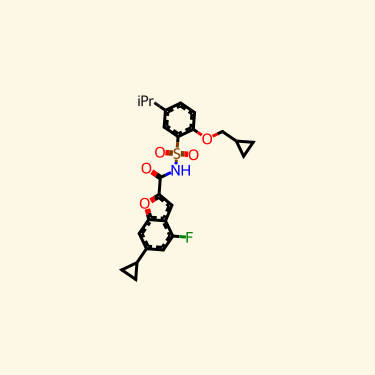 CC(C)c1ccc(OCC2CC2)c(S(=O)(=O)NC(=O)c2cc3c(F)cc(C4CC4)cc3o2)c1